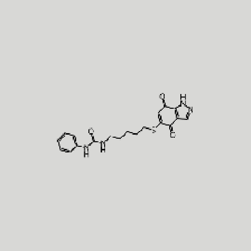 O=C(NCCCCCSC1=CC(=O)c2[nH]ncc2C1=O)Nc1ccccc1